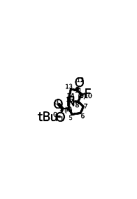 CC(C)(C)OC(=O)[C@@]12CCCC3[C@H](F)C(=O)CC1N32